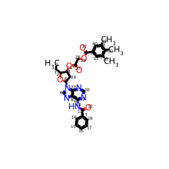 CCC1OC(n2cnc3c(NC(=O)c4ccccc4)ncnc32)CC1OC(=O)COC(=O)c1cc(C)c(C)c(C)c1